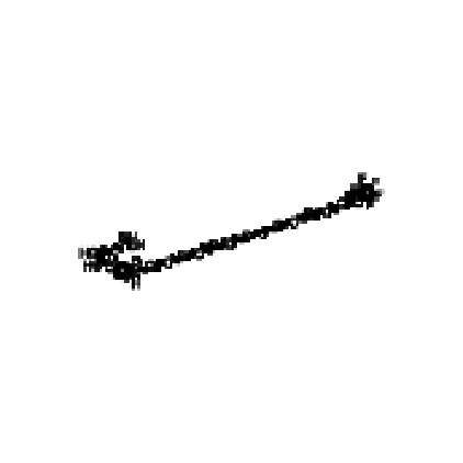 O=C(COCCOCCOCCOCCOCCOCCOCCOCCOCCOCCOCCOCCOCC(=O)Oc1c(F)c(F)c(F)c(F)c1F)Nc1ccc(OC2O[C@H](CCP(O)O)C[C@H](O)[C@@H]2O)cc1